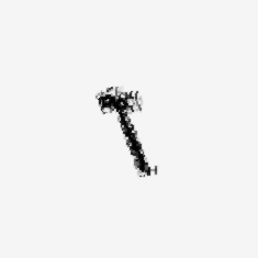 CC1=C(O[C@@H]2O[C@H](COOOOOOOOOOOOOOOOOO)[C@@H](O)[C@H](O)[C@H]2O)[C@H](C)[C@@H](C)OC1=O